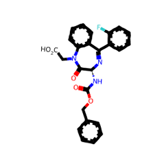 O=C(O)CN1C(=O)[C@@H](NC(=O)OCc2ccccc2)N=C(c2ccccc2F)c2ccccc21